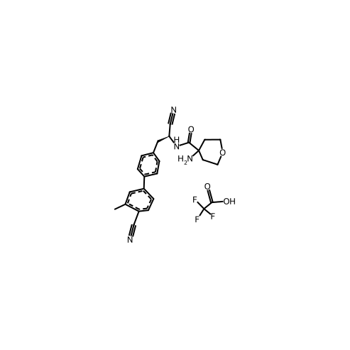 Cc1cc(-c2ccc(C[C@@H](C#N)NC(=O)C3(N)CCOCC3)cc2)ccc1C#N.O=C(O)C(F)(F)F